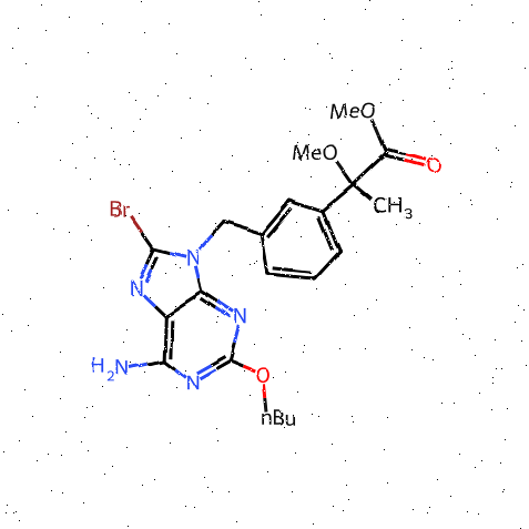 CCCCOc1nc(N)c2nc(Br)n(Cc3cccc(C(C)(OC)C(=O)OC)c3)c2n1